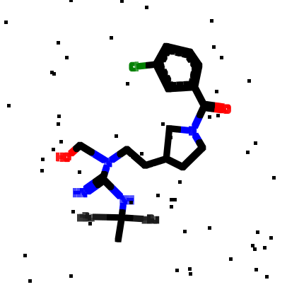 CCCCC(C)(CCCC)NC(=N)N(CO)CCC1CCN(C(=O)c2cccc(Cl)c2)C1